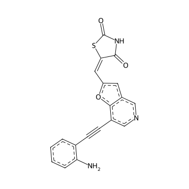 Nc1ccccc1C#Cc1cncc2cc(C=C3SC(=O)NC3=O)oc12